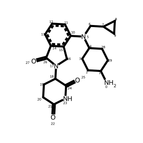 NC1CCC(N(CC2CC2)c2cccc3c2CN(C2CCC(=O)NC2=O)C3=O)CC1